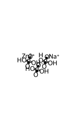 O=P([O-])(O)O.O=P([O-])(O)O.O=P([O-])(O)O.[Na+].[Zn+2]